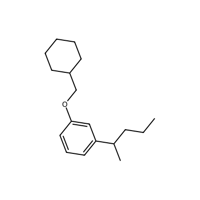 CCCC(C)c1cccc(OCC2CCCCC2)c1